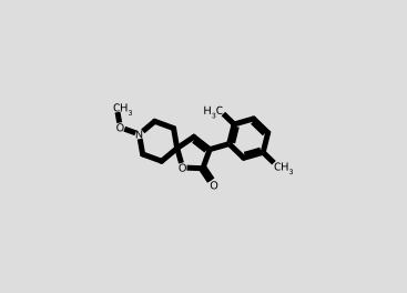 CON1CCC2(C=C(c3cc(C)ccc3C)C(=O)O2)CC1